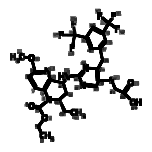 CCOC(=O)N1c2ccc(OC)nc2[C@@H](Nc2ncc(SCC(=O)O)c(Cc3cc(C(F)(F)F)cc(C(F)(F)F)c3)n2)C[C@H]1CC